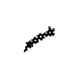 CCCC12COC(C3CCC(C4CCC(CCc5cc(F)c(F)c(F)c5)CC4)CC3)(OC1)OC2